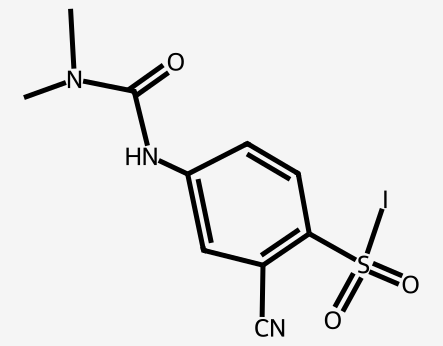 CN(C)C(=O)Nc1ccc(S(=O)(=O)I)c(C#N)c1